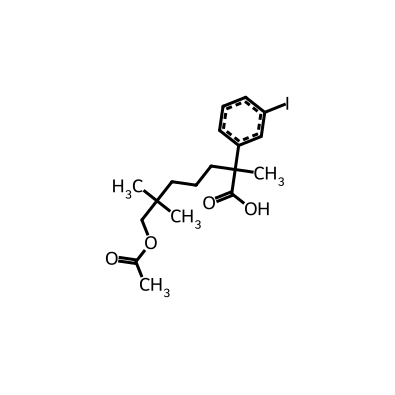 CC(=O)OCC(C)(C)CCCC(C)(C(=O)O)c1cccc(I)c1